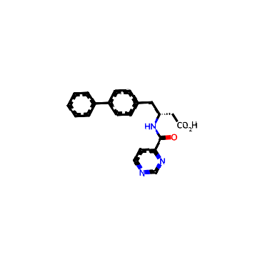 O=C(O)C[C@@H](Cc1ccc(-c2ccccc2)cc1)NC(=O)c1ccncn1